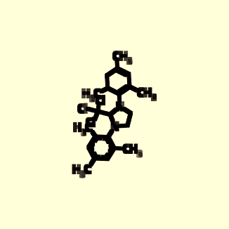 CC1=CC(C)=C(N2CCN(c3c(C)cc(C)cc3C)C2C(Cl)(Cl)Cl)C(C)C1